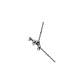 CCCCCCCCC=CCCCCCCCC(=O)OCC(CNC(=S)OCCN(CC)CC)OC(=O)CCCCCCCC=CCCCCCCCC